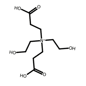 O=C(O)CC[N+](CCO)(CCO)CCC(=O)O